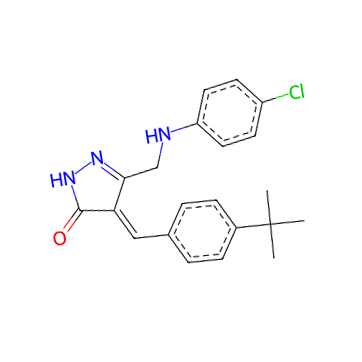 CC(C)(C)c1ccc(C=C2C(=O)NN=C2CNc2ccc(Cl)cc2)cc1